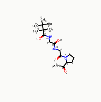 CNC(=O)C1CCCN1C(=O)CNC(=O)CNC(=O)C(C)(C)C(C)(C)C(C)(C)C